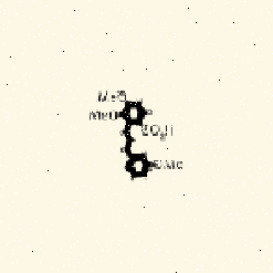 COc1cccc(CCCc2c(C(=O)O)ccc(OC)c2OC)c1